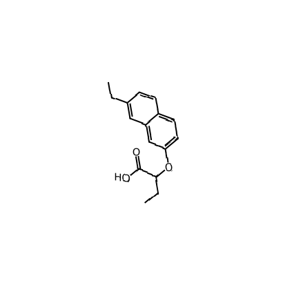 CCc1ccc2ccc(OC(CC)C(=O)O)cc2c1